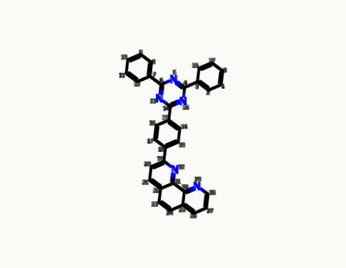 c1ccc(-c2nc(-c3ccccc3)nc(-c3ccc(-c4ccc5ccc6cccnc6c5n4)cc3)n2)cc1